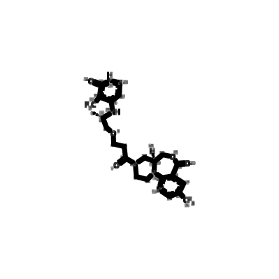 C[C@@H](COCCC(=O)N1CCN2c3ncc(C(F)(F)F)cc3C(=O)OC[C@@H]2C1)Nc1cn[nH]c(=O)c1C(F)(F)F